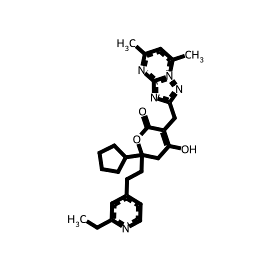 CCc1cc(CCC2(C3CCCC3)CC(O)=C(Cc3nc4nc(C)cc(C)n4n3)C(=O)O2)ccn1